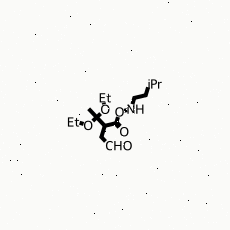 CCOC(C)(OCC)C(CC=O)C(=O)ONCCC(C)C